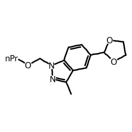 CCCOCn1nc(C)c2cc(C3OCCO3)ccc21